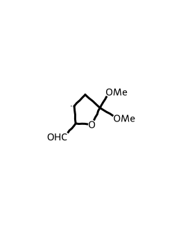 COC1(OC)C[CH]C(C=O)O1